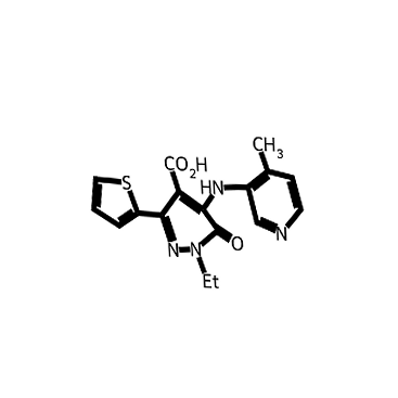 CCn1nc(-c2cccs2)c(C(=O)O)c(Nc2cnccc2C)c1=O